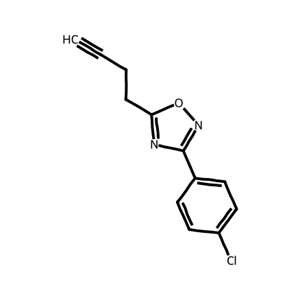 C#CCCc1nc(-c2ccc(Cl)cc2)no1